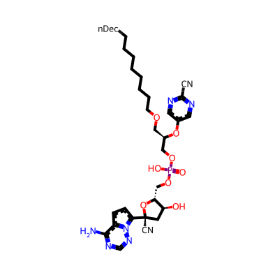 CCCCCCCCCCCCCCCCCCOC[C@H](COP(=O)(O)OC[C@H]1O[C@@](C#N)(c2ccc3c(N)ncnn23)C[C@@H]1O)Oc1cnc(C#N)nc1